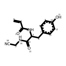 C=CC(=O)NC(Cc1ccc(O)cc1)C(=O)NCC#N